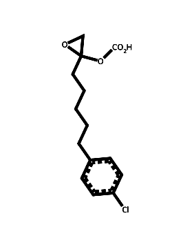 O=C(O)OC1(CCCCCc2ccc(Cl)cc2)CO1